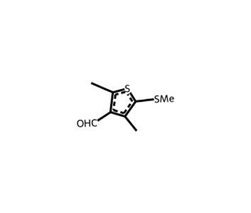 CSc1sc(C)c(C=O)c1C